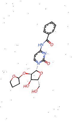 O=C(Nc1ccn([C@@H]2O[C@H](CO)[C@@H](O)[C@H]2OC2CCCO2)c(=O)n1)c1ccccc1